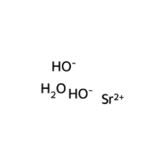 O.[OH-].[OH-].[Sr+2]